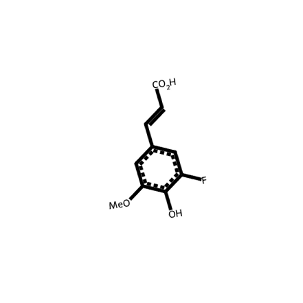 COc1cc(/C=C/C(=O)O)cc(F)c1O